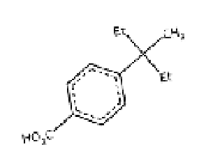 CCC(C)(CC)c1ccc(C(=O)O)cc1